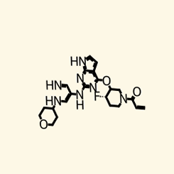 C=CC(=O)N1CC[C@H](F)C(Oc2nc(N/C(C=N)=C/NC3CCOCC3)nc3[nH]ccc23)C1